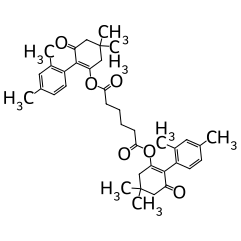 Cc1ccc(C2=C(OC(=O)CCCCC(=O)OC3=C(c4ccc(C)cc4C)C(=O)CC(C)(C)C3)CC(C)(C)CC2=O)c(C)c1